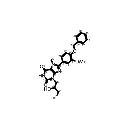 COc1cc(-c2nc3c(c(=O)[nH]c(=O)n3CC(O)CF)n2C)ccc1OCc1ccccc1